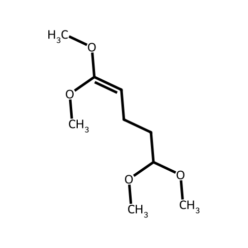 COC(=CCCC(OC)OC)OC